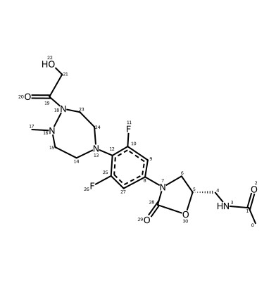 CC(=O)NC[C@H]1CN(c2cc(F)c(N3CCN(C)N(C(=O)CO)CC3)c(F)c2)C(=O)O1